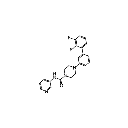 O=C(Nc1cccnc1)N1CCN(c2cccc(-c3cccc(F)c3F)c2)CC1